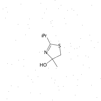 CC(C)C1=NC(C)(O)CS1